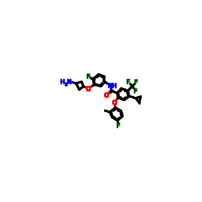 Cc1cc(F)ccc1Oc1cc(C2CC2)c(C(F)(F)F)cc1C(=O)Nc1ccc(F)c(OC2CC(N)C2)c1